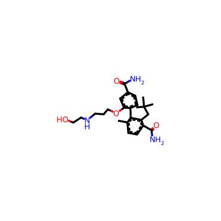 Cc1ccc(C(N)=O)c(CC(C)(C)C)c1-c1ccc(C(N)=O)cc1OCCCNCCO